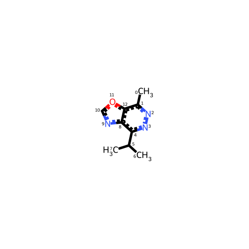 Cc1nnc(C(C)C)c2ncoc12